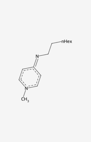 CCCCCCCCN=c1ccn(C)cc1